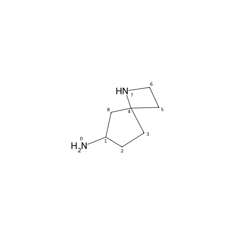 NC1CCC2(CCN2)C1